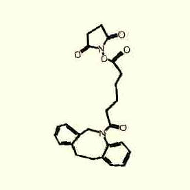 O=C(CCCCC(=O)N1Cc2ccccc2CCc2ccccc21)ON1C(=O)CCC1=O